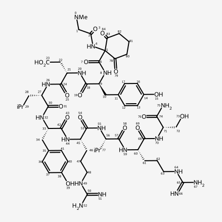 CNCC(=O)NC1(C(=O)N[C@@H](Cc2ccc(O)cc2)C(=O)N[C@@H](CC(=O)O)C(=O)N[C@@H](CC(C)C)C(=O)N[C@@H](Cc2ccc(O)cc2)C(=O)N[C@@H](CCCNC(=N)N)C(=O)N[C@H](C(=O)N[C@@H](CCCNC(=N)N)C(=O)N[C@@H](CO)C(N)=O)C(C)C)C(=O)CCCC1=O